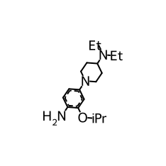 CCN(CC)C1CCN(c2ccc(N)c(OC(C)C)c2)CC1